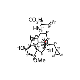 COc1cc(O)c2c3c1C[C@@H]1[C@@H]4CC[C@@H](N[C@@H](CC(C)C)C(=O)O)[C@H](O2)[C@]34CCN1CC1CC1